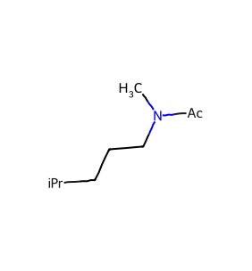 CC(=O)N(C)CCCC(C)C